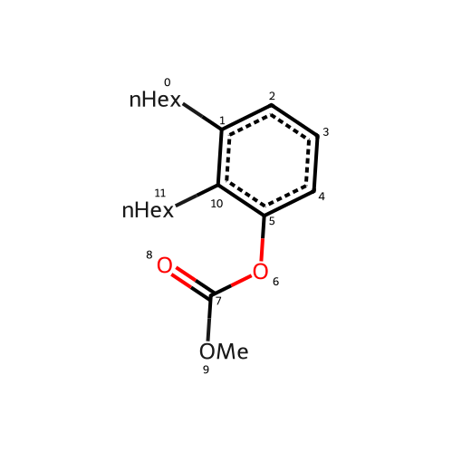 CCCCCCc1cccc(OC(=O)OC)c1CCCCCC